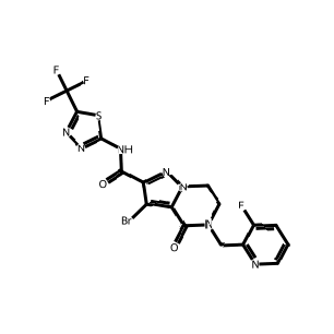 O=C(Nc1nnc(C(F)(F)F)s1)c1nn2c(c1Br)C(=O)N(Cc1ncccc1F)CC2